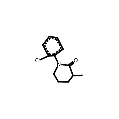 CC1CCCN(c2ccccc2Cl)C1=O